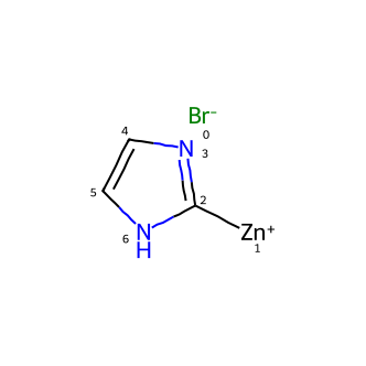 [Br-].[Zn+][c]1ncc[nH]1